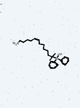 CC(C)(CCCCC/C=C\CCCCN)[Si](O)(c1ccccc1)c1ccccc1